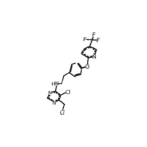 C=C(/C=C\C(=C/C)CCNc1ncnc(CCl)c1Cl)Oc1ccc(C(F)(F)F)cn1